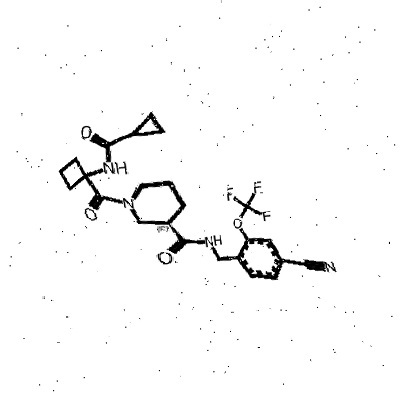 N#Cc1ccc(CNC(=O)[C@@H]2CCCN(C(=O)C3(NC(=O)C4CC4)CCC3)C2)c(OC(F)(F)F)c1